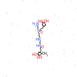 CC1CC(O)=C(O)C=C1CCC(=O)NCCCNCCCCN(CCCN)C(=O)CCc1ccc(O)c(O)c1